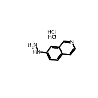 Cl.Cl.NNc1ccc2ccncc2c1